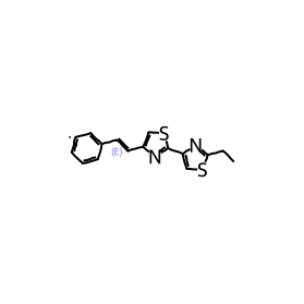 CCc1nc(-c2nc(/C=C/c3c[c]ccc3)cs2)cs1